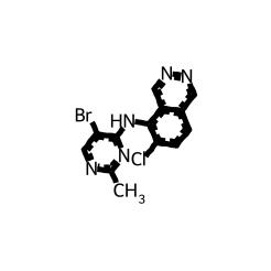 Cc1ncc(Br)c(Nc2c(Cl)ccc3cnncc23)n1